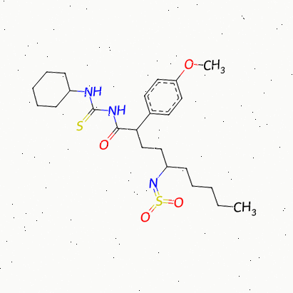 CCCCCC(CCC(C(=O)NC(=S)NC1CCCCC1)c1ccc(OC)cc1)N=S(=O)=O